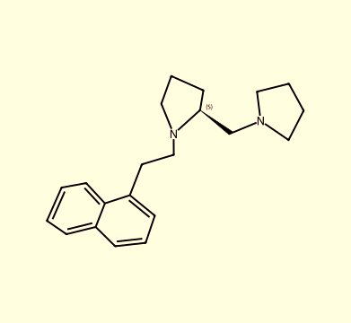 c1ccc2c(CCN3CCC[C@H]3CN3CCCC3)cccc2c1